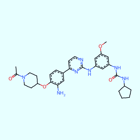 COc1cc(NC(=O)NC2CCCC2)cc(Nc2nccc(-c3ccc(OC4CCN(C(C)=O)CC4)c(N)c3)n2)c1